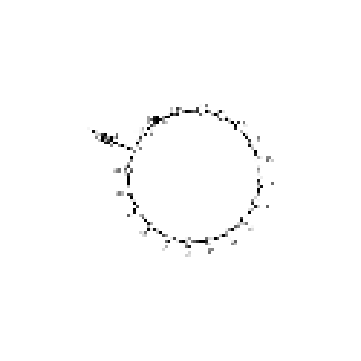 N#CN1NNCCCCCCCCCCCCCCCCO1